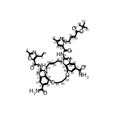 CCc1nc(C)oc1C(=O)Nc1nc2cc(C(N)=O)cc3c2n1C/C=C/Cn1c(NC(=O)c2cc(C)nn2C/C=C/C(=O)OC(C)(C)C)nc2cc(C(N)=O)cc(c21)OCCCO3